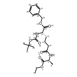 CCOC(=O)[C@H](C)NC(=O)CCC[C@H](NC(=O)OC(C)(C)C)C(=O)OCc1ccccc1